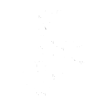 CO[C@]1(C)COCCN(c2nc(OC[C@@]34CCCN3C[C@H](F)C4)nc3sc4c(-c5c(C(F)(F)F)c(C)cc6[nH]ncc56)nccc4c23)C1